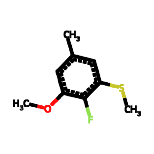 COc1cc(C)cc(SC)c1F